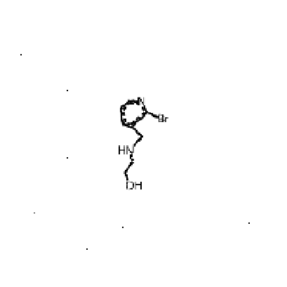 OCCNCc1cccnc1Br